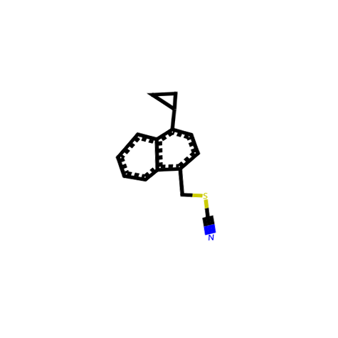 N#CSCc1ccc(C2CC2)c2ccccc12